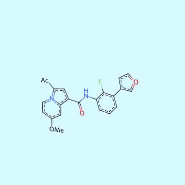 COc1ccn2c(C(C)=O)cc(C(=O)Nc3cccc(-c4ccoc4)c3F)c2c1